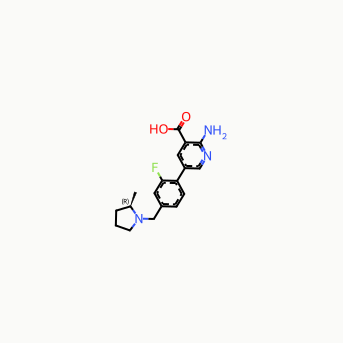 C[C@@H]1CCCN1Cc1ccc(-c2cnc(N)c(C(=O)O)c2)c(F)c1